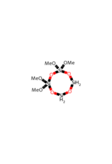 CO[Si]1(OC)O[SiH2]O[SiH2]O[Si](OC)(OC)O1